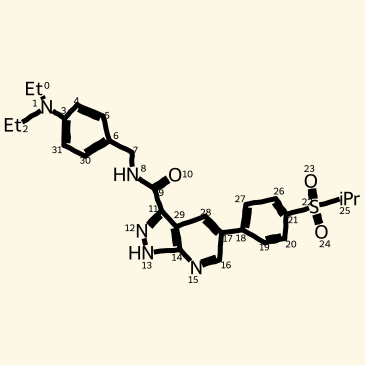 CCN(CC)c1ccc(CNC(=O)c2n[nH]c3ncc(-c4ccc(S(=O)(=O)C(C)C)cc4)cc23)cc1